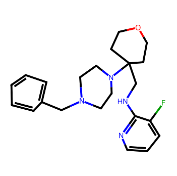 Fc1cccnc1NCC1(N2CCN(Cc3ccccc3)CC2)CCOCC1